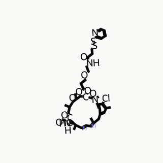 C/C1=C\C=C\C(C)C2(O)CC(OC(=O)N2)C(C)C2OC2(C)C(OC(=O)CCOCCNC(=O)CCSSc2ccccn2)CC(=O)N(C)c2cc(cc(C)c2Cl)C1